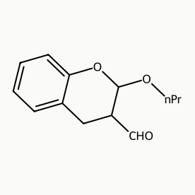 CCCOC1Oc2ccccc2CC1C=O